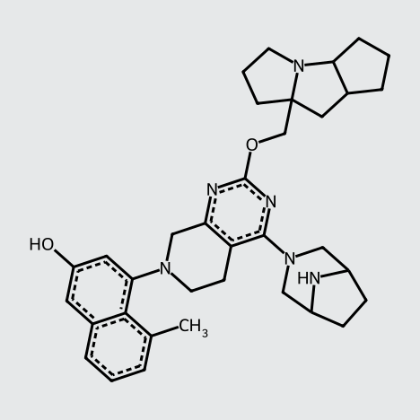 Cc1cccc2cc(O)cc(N3CCc4c(nc(OCC56CCCN5C5CCCC5C6)nc4N4CC5CCC(C4)N5)C3)c12